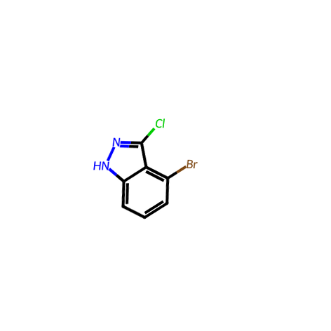 Clc1n[nH]c2cccc(Br)c12